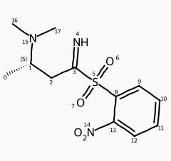 C[C@@H](CC(=N)S(=O)(=O)c1ccccc1[N+](=O)[O-])N(C)C